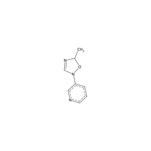 CC1N=CN(c2[c]nccc2)O1